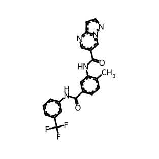 Cc1ccc(C(=O)Nc2cccc(C(F)(F)F)c2)cc1NC(=O)c1cnc2ccnn2c1